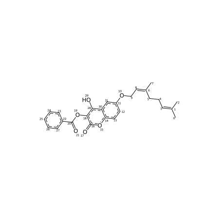 CC(C)=CCCC(C)=CCOc1ccc2oc(=O)c(OC(=O)c3ccccc3)c(O)c2c1